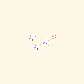 CCC[N+](CCC)(CCC)CCC.CCC[N+](CCC)(CCC)CCC.CCC[N+](CCC)(CCC)CCC.O=P([O-])([O-])[O-]